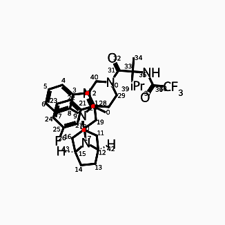 Cc1nc2ccccc2n1[C@H]1C[C@H]2CC[C@@H](C1)N2CCC1(c2cccc(F)c2)CCN(C(=O)C(C)(NC(=O)C(F)(F)F)C(C)C)CC1